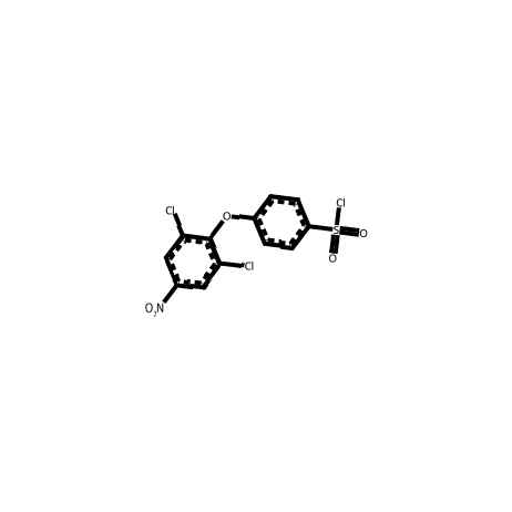 O=[N+]([O-])c1cc(Cl)c(Oc2ccc(S(=O)(=O)Cl)cc2)c(Cl)c1